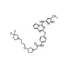 Cc1cc(Nc2nc(Sc3ccc(NC(=O)CN4CCC(OCCCN5CCC(F)(F)C5)C4)cc3)nc3cccn23)n[nH]1